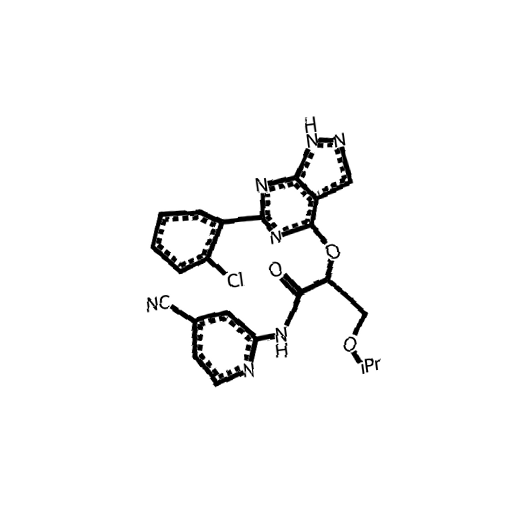 CC(C)OCC(Oc1nc(-c2ccccc2Cl)nc2[nH]ncc12)C(=O)Nc1cc(C#N)ccn1